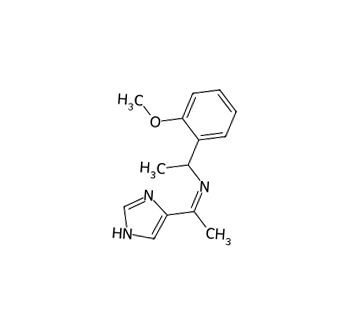 COc1ccccc1C(C)N=C(C)c1c[nH]cn1